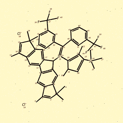 CC1=CC(C)(C)c2cc3c(cc21)-c1cc2c(cc1[CH]3[Zr+2]([C]1=C(C)C([Si](C)(C)C)=CC1C)=[C](c1cccc(C(F)(F)F)c1)c1cccc(C(F)(F)F)c1)C(C)(C)C=C2C.[Cl-].[Cl-]